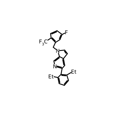 CCc1cccc(CC)c1-c1cc2ccn(Cc3cc(F)ccc3C(F)(F)F)c2cn1